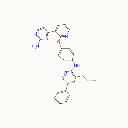 CCCc1cc(-c2ccccc2)nnc1Nc1ccc(Oc2ncccc2-c2ccnc(N)n2)cc1